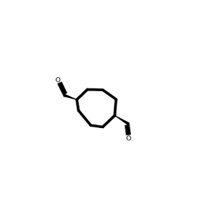 O=C[C@H]1CCC[C@@H](C=O)CCC1